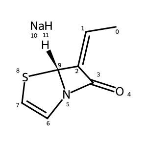 CC=C1C(=O)N2C=CS[C@H]12.[NaH]